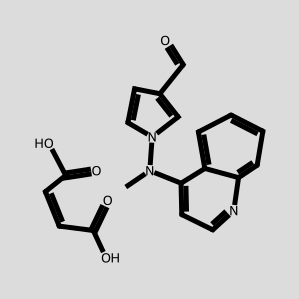 CN(c1ccnc2ccccc12)n1ccc(C=O)c1.O=C(O)/C=C\C(=O)O